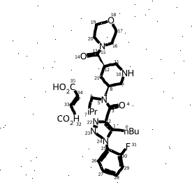 CCCCc1c(C(=O)N(CC(C)C)[C@@H]2CNC[C@H](C(=O)N3CCOCC3)C2)nnn1-c1ccccc1F.O=C(O)/C=C/C(=O)O